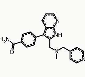 CN(Cc1ccncc1)Cc1[nH]c2ncccc2c1-c1ccc(C(N)=O)cc1